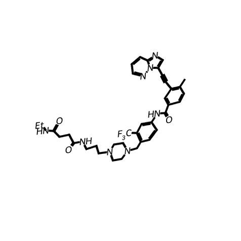 CCNC(=O)CCC(=O)NCCCN1CCN(Cc2ccc(NC(=O)c3ccc(C)c(C#Cc4cnc5cccnn45)c3)cc2C(F)(F)F)CC1